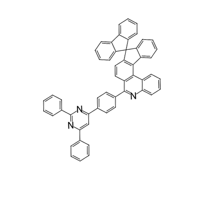 c1ccc(-c2cc(-c3ccc(-c4nc5ccccc5c5c6c(ccc45)C4(c5ccccc5-c5ccccc54)c4ccccc4-6)cc3)nc(-c3ccccc3)n2)cc1